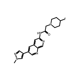 Cn1cc(-c2cnc3cnc(NC(=O)CN4CCC(F)CC4)cc3c2)cn1